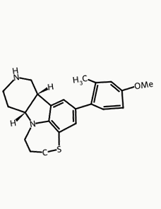 COc1ccc(-c2cc3c4c(c2)[C@H]2CNCC[C@H]2N4CCCS3)c(C)c1